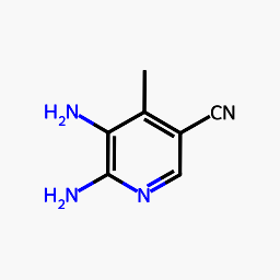 Cc1c(C#N)cnc(N)c1N